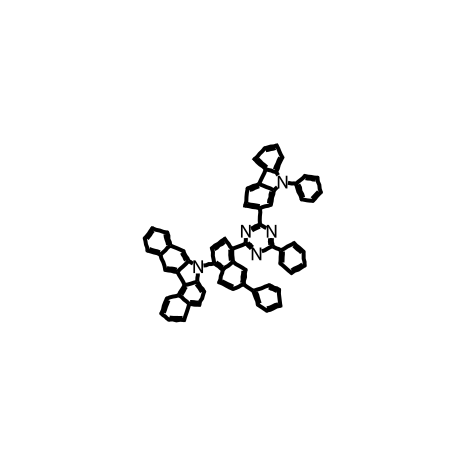 c1ccc(-c2ccc3c(-n4c5cc6ccccc6cc5c5c6ccccc6ccc54)ccc(-c4nc(-c5ccccc5)nc(-c5ccc6c7ccccc7n(-c7ccccc7)c6c5)n4)c3c2)cc1